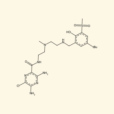 CN(CCNCc1cc(C(C)(C)C)cc(S(C)(=O)=O)c1O)CCNC(=O)c1nc(Cl)c(N)nc1N